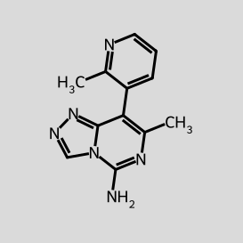 Cc1ncccc1-c1c(C)nc(N)n2cnnc12